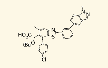 Cc1cc2nc(-c3cccc(-c4ccc5c(cnn5C)c4)c3)sc2c(-c2ccc(Cl)cc2)c1[C@H](OC(C)(C)C)C(=O)O